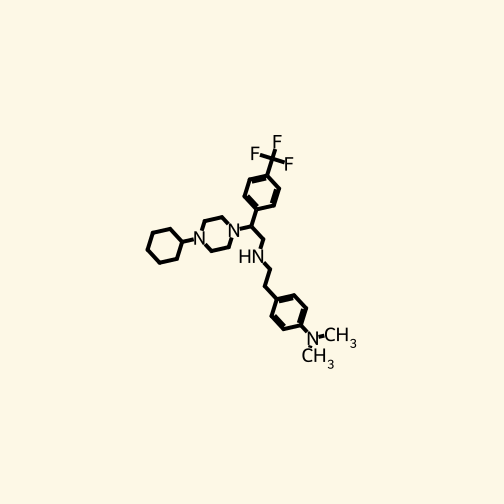 CN(C)c1ccc(CCNCC(c2ccc(C(F)(F)F)cc2)N2CCN(C3CCCCC3)CC2)cc1